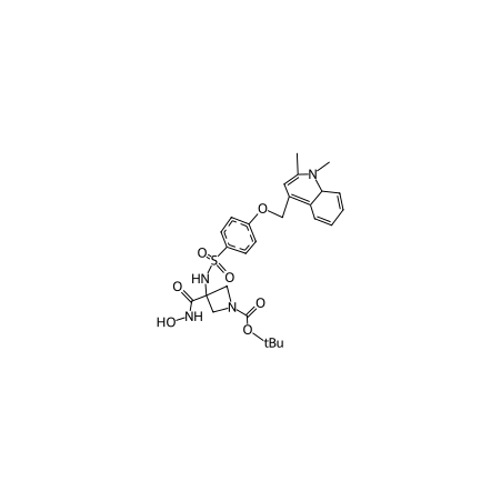 CC1=CC(COc2ccc(S(=O)(=O)NC3(C(=O)NO)CN(C(=O)OC(C)(C)C)C3)cc2)=C2C=CC=CC2N1C